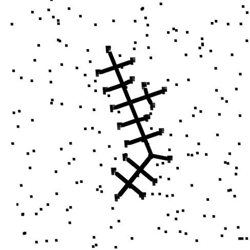 F[C](C(F)(F)C(F)(F)F)C(F)(F)C(F)(F)C(F)(C(F)(F)F)C(F)(F)C(F)(F)F